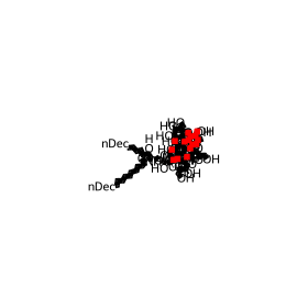 CCCCCCCCCCCCC/C=C/[C@@H](O)[C@H](CO[C@@H]1OC(CO)[C@@H](O[C@@H]2OC(CO)[C@H](O)[C@H](O[C@@H]3OC(CO)[C@@H](O[C@@H]4OC(CO)[C@H](O)[C@H](O[C@H]5OC(CO)[C@H](O)[C@H](O)C5O)C4O[C@H]4OC(C)[C@@H](O)C(O)[C@@H]4O)[C@H](O[C@H]4OC(C)[C@@H](O)C(O)[C@@H]4O)C3NC(C)=O)C2O)[C@H](O)C1O)NC(=O)CCCCCCCCCCCCCCCCCCC